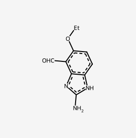 CCOc1ccc2[nH]c(N)nc2c1C=O